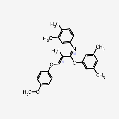 COc1ccc(O/C=C(C)/C(=N\c2ccc(C)c(C)c2)Oc2cc(C)cc(C)c2)cc1